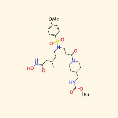 COc1ccc(S(=O)(=O)N(CCC(=O)N2CCC(CNC(=O)OC(C)(C)C)CC2)CCC(C)CC(=O)NO)cc1